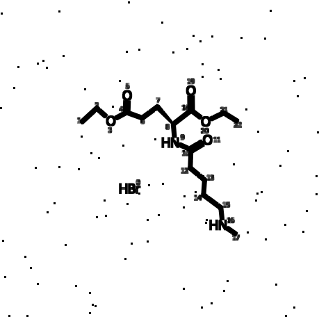 Br.CCOC(=O)CC[C@H](NC(=O)CCCCNC)C(=O)OCC